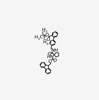 CC(C)(C)OC(=O)c1ccccc1-c1ccc(CNC(=O)C2(NC(=O)OCC3c4ccccc4-c4ccccc43)CCCC2)cc1